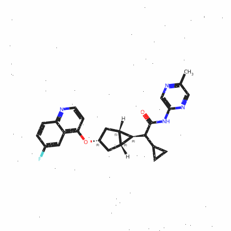 Cc1cnc(NC(=O)C(C2CC2)[C@H]2[C@@H]3C[C@H](Oc4ccnc5ccc(F)cc45)C[C@@H]32)cn1